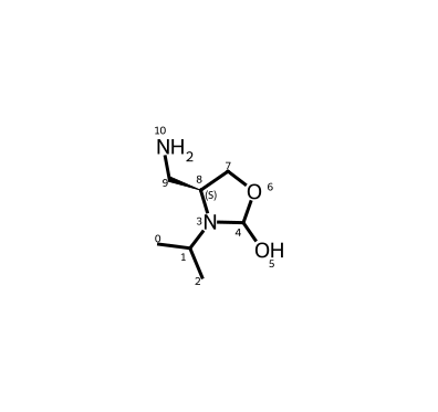 CC(C)N1C(O)OC[C@@H]1CN